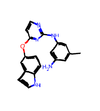 Cc1cc(N)cc(Nc2nccc(Oc3ccc4[nH]ccc4c3)n2)c1